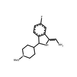 CSN1CCC(C2N/C(=C\N)c3cc(F)ccc32)CC1